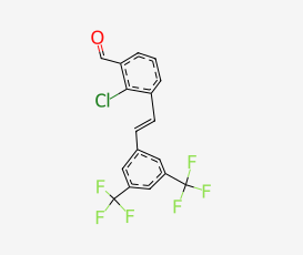 O=Cc1cccc(/C=C/c2cc(C(F)(F)F)cc(C(F)(F)F)c2)c1Cl